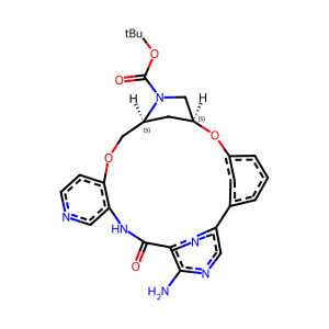 CC(C)(C)OC(=O)N1C[C@@H]2C[C@H]1COc1ccncc1NC(=O)c1nc(cnc1N)-c1cccc(c1)O2